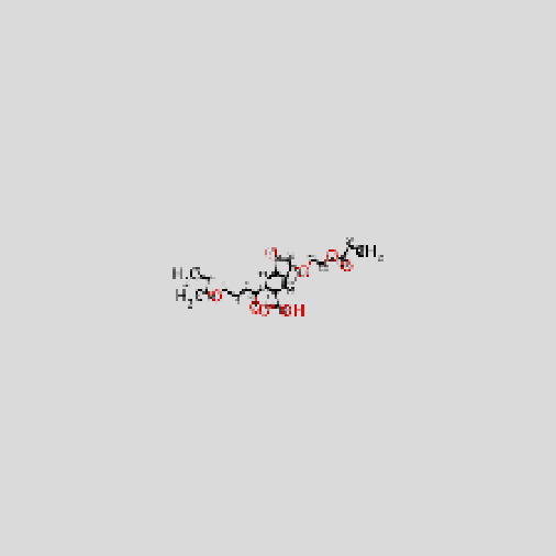 C=CC(=C)OCCCC(=O)c1cc2c(cc1C(=O)O)C(OCCOC(=O)C=C)=CC2=O